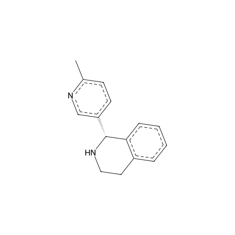 Cc1ccc([C@H]2NCCc3ccccc32)cn1